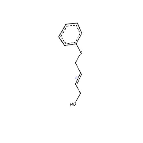 OC/C=C/CSc1ccccc1